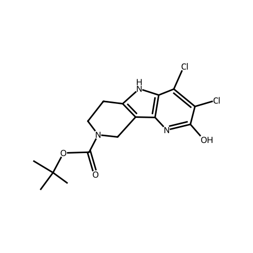 CC(C)(C)OC(=O)N1CCc2[nH]c3c(Cl)c(Cl)c(O)nc3c2C1